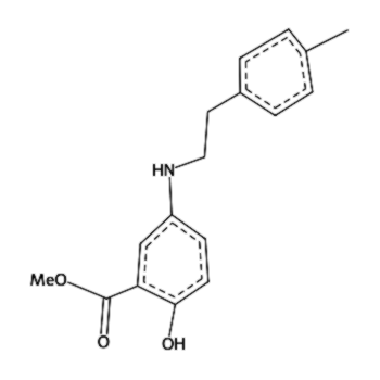 COC(=O)c1cc(NCCc2ccc(C)cc2)ccc1O